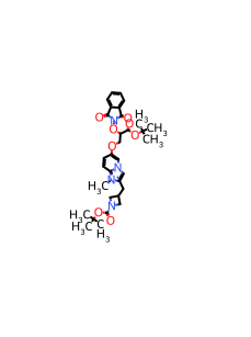 C[n+]1c(CC2CN(C(=O)OC(C)(C)C)C2)cn2cc(OCC(ON3C(=O)c4ccccc4C3=O)C(=O)OC(C)(C)C)ccc21